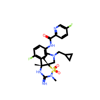 CN1C(=N)N[C@](C)(c2cc(NC(=O)c3ccc(F)cn3)ccc2F)[C@@]2(CCN(CC3CC3)C2)S1(=O)=O